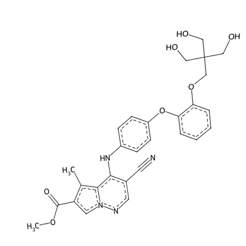 COC(=O)c1cn2ncc(C#N)c(Nc3ccc(Oc4ccccc4OCC(CO)(CO)CO)cc3)c2c1C